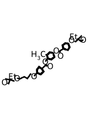 CCC1(COCCCCOc2ccc(C(=O)Oc3ccc(OC(=O)c4ccc(OCC5(CC)COC5)cc4)cc3C)cc2)COC1